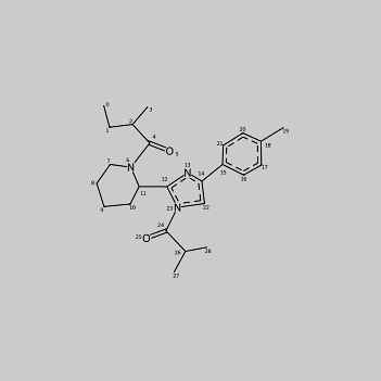 CCC(C)C(=O)N1CCCCC1c1nc(-c2ccc(C)cc2)cn1C(=O)C(C)C